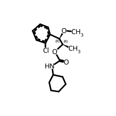 CO[C@H](c1ccccc1Cl)[C@@H](C)OC(=O)NC1CCCCC1